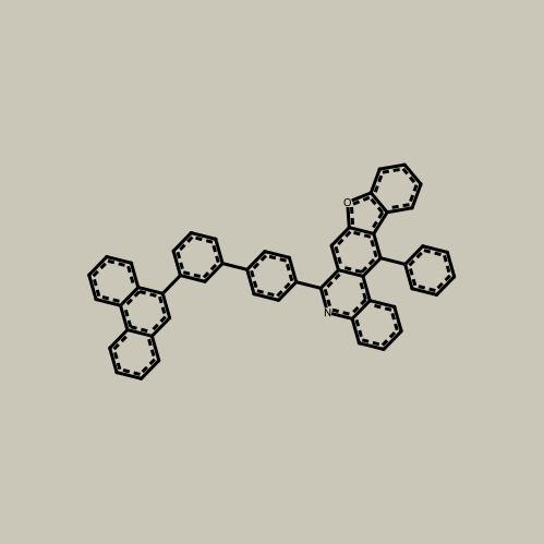 c1ccc(-c2c3c(cc4c(-c5ccc(-c6cccc(-c7cc8ccccc8c8ccccc78)c6)cc5)nc5ccccc5c24)oc2ccccc23)cc1